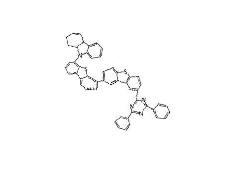 C1=CC2c3ccccc3N(c3cccc4c3sc3c(-c5ccc6sc7ccc(-c8nc(-c9ccccc9)nc(-c9ccccc9)n8)cc7c6c5)cccc34)C2CC1